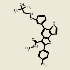 CNC(=O)c1c(-c2ccc(P)cc2)oc2c1cc(-c1cccc(ONCC(C)(C)C)c1)c1[nH]ccc12